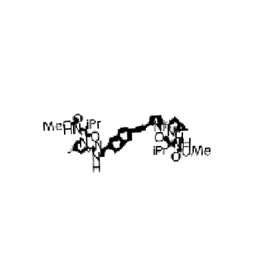 COC(=O)N[C@H](C(=O)N1C[C@@H](C)C[C@H]1c1nc(-c2ccc3cc(C#Cc4ccc([C@@H]5CC6C[C@H]6N5C(=O)[C@@H](NC(=O)OC)C(C)C)[nH]4)ccc3c2)c[nH]1)C(C)C